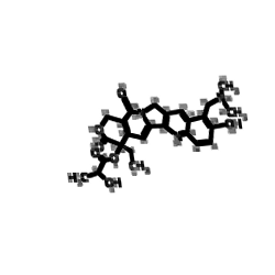 CC[C@@]1(OC(=O)C(C)O)C(=O)OCc2c1cc1n(c2=O)Cc2cc3c(CN(C)C)c(O)ccc3nc2-1